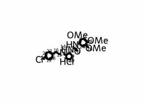 COc1cc(NC(=O)NC2CCCC2N(C)CCc2ccc(Cl)cc2)cc(OC)c1OC.Cl